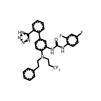 O=C(Nc1ccc(F)cc1F)Nc1cc(-c2ccccc2-c2nnn[nH]2)ccc1N(CCc1ccccc1)CCC(F)(F)F